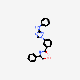 O=C(NC(CO)c1ccccc1)c1cccc(-n2cnc(Nc3ccccc3)n2)c1